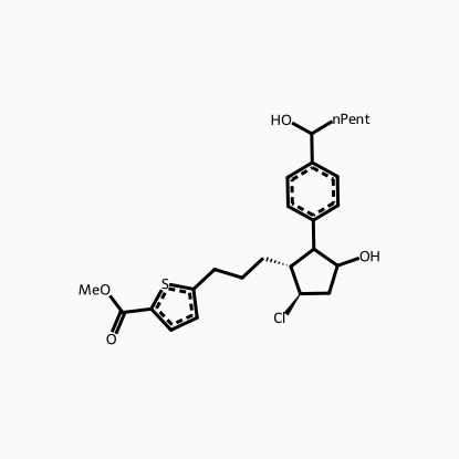 CCCCCC(O)c1ccc(C2C(O)C[C@@H](Cl)[C@@H]2CCCc2ccc(C(=O)OC)s2)cc1